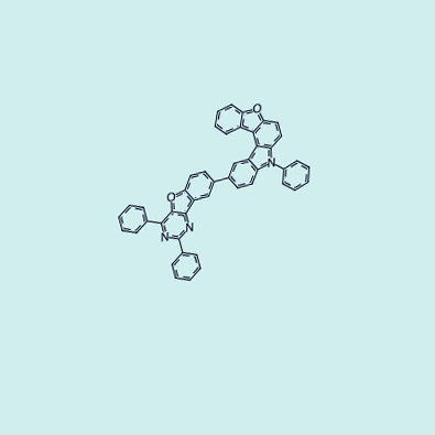 c1ccc(-c2nc(-c3ccccc3)c3oc4ccc(-c5ccc6c(c5)c5c7c(ccc5n6-c5ccccc5)oc5ccccc57)cc4c3n2)cc1